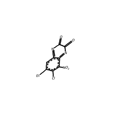 CCc1cc2c(c([N+](=O)[O-])c1Cl)=NC(=O)C(=O)N=2